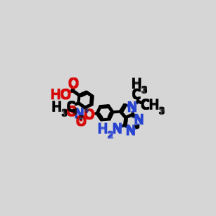 CC(C)n1cc(-c2ccc(OC3([N+](=O)[O-])C=CC=C(C(=O)O)C3C)cc2)c2c(N)ncnc21